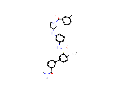 COc1ccc(-c2cccc(C(=O)N(C)C)c2)cc1[S@+]([O-])Nc1cccc(N[C@H]2CCN(C(=O)c3cccc(C)c3)C2)c1